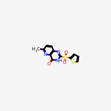 Cc1ccc2nc(S(=O)(=O)c3cccs3)[nH]c(=O)c2n1